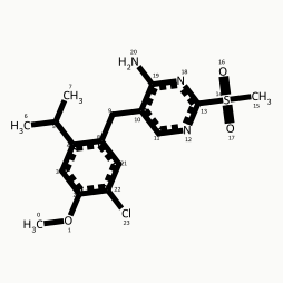 COc1cc(C(C)C)c(Cc2cnc(S(C)(=O)=O)nc2N)cc1Cl